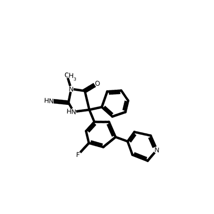 CN1C(=N)NC(c2ccccc2)(c2cc(F)cc(-c3ccncc3)c2)C1=O